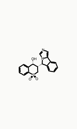 O=S1(=O)C[C@@H](C2c3ccccc3-c3cncn32)[C@@H](O)c2ccccc21